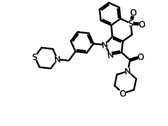 O=C(c1nn(-c2cccc(CN3CCSCC3)c2)c2c1CS(=O)(=O)c1ccccc1-2)N1CCOCC1